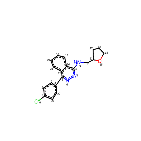 Clc1ccc(-c2nnc(NCC3CCCO3)c3ccccc23)cc1